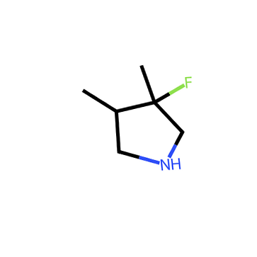 CC1CNCC1(C)F